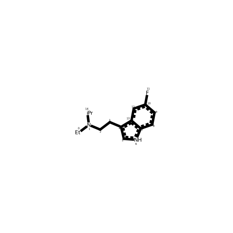 CCN(CCc1c[nH]c2ccc(F)cc12)C(C)C